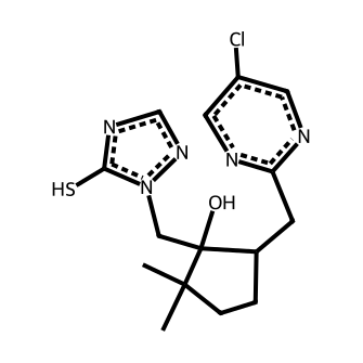 CC1(C)CCC(Cc2ncc(Cl)cn2)C1(O)Cn1ncnc1S